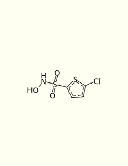 O=S(=O)(NO)c1ccc(Cl)s1